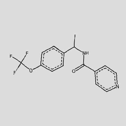 CC(NC(=O)c1ccncc1)c1ccc(OC(F)(F)F)cc1